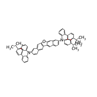 CC(C)c1ccc(-c2ccccc2N(c2ccccc2)c2ccc3cc4c(cc3c2)oc2cc3cc(N(c5ccc(C(C)C)cc5)c5ccccc5-c5ccc(C(C)C)cc5)ccc3cc24)cc1